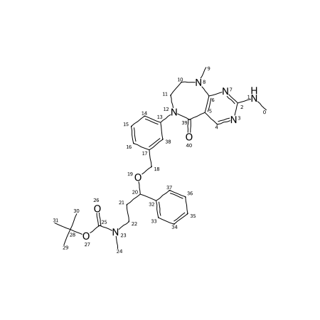 CNc1ncc2c(n1)N(C)CCN(c1cccc(COC(CCN(C)C(=O)OC(C)(C)C)c3ccccc3)c1)C2=O